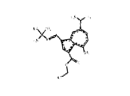 CCOC(=O)c1cc(C=NC(C)(C)C)c2cc(C(C)C)ccc(C)c1-2